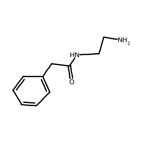 NCCNC(=O)Cc1cc[c]cc1